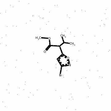 COC(=O)C(c1cc(Br)no1)C(C)C